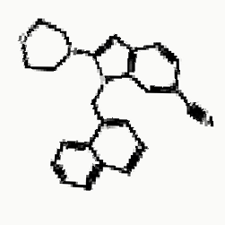 N#Cc1ccc2cc(N3CCOCC3)n(Cc3cccc4ccccc34)c2c1